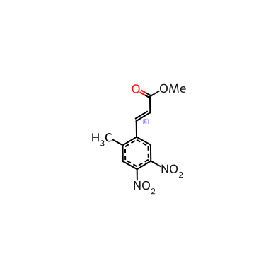 COC(=O)/C=C/c1cc([N+](=O)[O-])c([N+](=O)[O-])cc1C